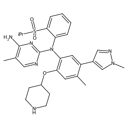 Cc1cc(OC2CCNCC2)c(N(c2ncc(C)c(N)n2)c2ccccc2S(=O)(=O)C(C)C)cc1-c1cnn(C)c1